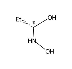 CC[C@H](O)NO